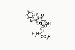 NC(CCC(=O)NC(CS)C(=O)N(Cc1ccccc1)C(Br)C(=O)O)C(=O)O